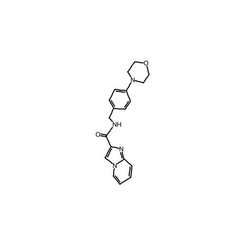 O=C(NCc1ccc(N2CCOCC2)cc1)c1cn2ccccc2n1